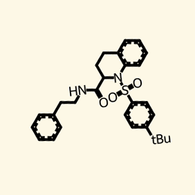 CC(C)(C)c1ccc(S(=O)(=O)N2c3ccccc3CCC2C(=O)NCCc2ccccc2)cc1